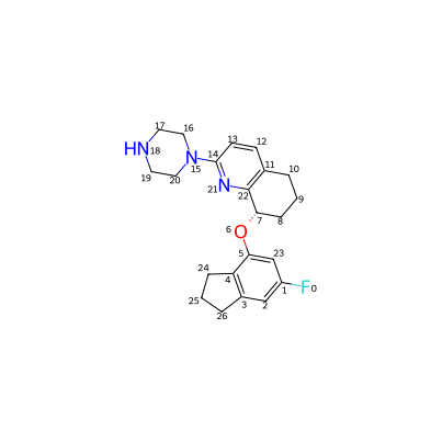 Fc1cc2c(c(O[C@H]3CCCc4ccc(N5CCNCC5)nc43)c1)CCC2